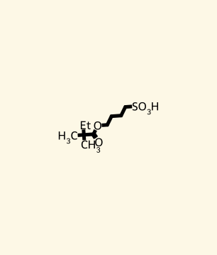 CCC(C)(C)C(=O)OCCCCS(=O)(=O)O